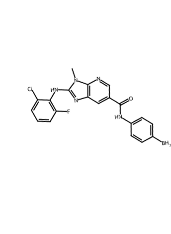 Bc1ccc(NC(=O)c2cnc3c(c2)nc(Nc2c(F)cccc2Cl)n3C)cc1